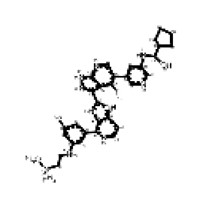 CN(C)CCNc1cc(F)cc(-c2nccc3[nH]c(-c4n[nH]c5ncc(-c6cncc(NC(O)C7CCCC7)c6)c(F)c45)nc23)c1